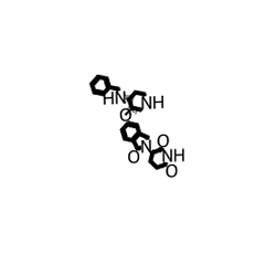 O=C1CCC(N2Cc3cc(O[C@@H]4CNCC[C@H]4NCc4ccccc4)ccc3C2=O)C(=O)N1